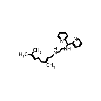 CC(C)=CCC/C(C)=C/CNCCNC(c1ccccn1)c1ccccn1